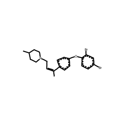 CC(=CCN1CCC(C)CC1)c1ccc(Oc2ccc(Br)cc2Br)cc1